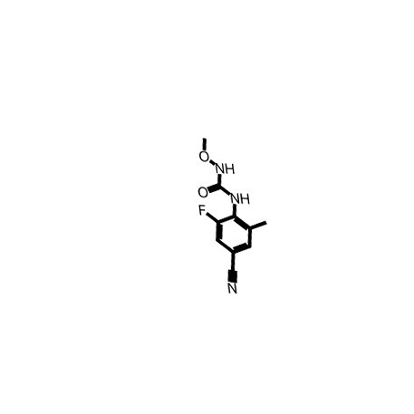 CONC(=O)Nc1c(C)cc(C#N)cc1F